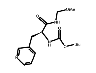 COCNC(=O)[C@H](Cc1cccnc1)NC(=O)OC(C)(C)C